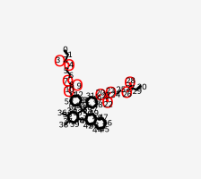 C=CC(=O)OCCOC(=O)Oc1ccc(C2(c3ccc(OC(=O)OCCOC(=O)C=C)cc3)c3cc(C)c(C)cc3-c3cc4ccccc4cc32)cc1